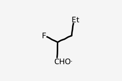 CCCC(F)[C]=O